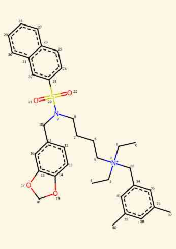 CC[N+](CC)(CCCCN(Cc1ccc2c(c1)OCO2)S(=O)(=O)c1ccc2ccccc2c1)Cc1cc(C)cc(C)c1